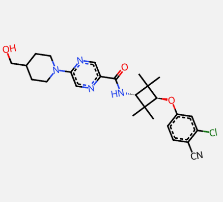 CC1(C)[C@H](NC(=O)c2cnc(N3CCC(CO)CC3)cn2)C(C)(C)[C@H]1Oc1ccc(C#N)c(Cl)c1